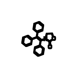 O=C1OCCN1C(=C(c1ccccc1)c1ccccc1)c1ccccc1